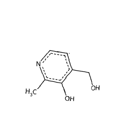 Cc1nc[c]c(CO)c1O